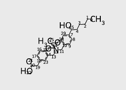 CCCCCC(O)c1ccc(CN(Cc2cccc(CC(=O)O)c2)S(C)(=O)=O)cc1